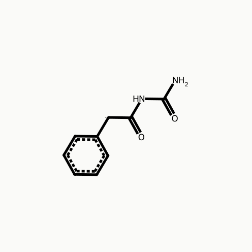 NC(=O)NC(=O)[CH]c1ccccc1